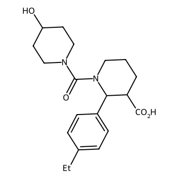 CCc1ccc(C2C(C(=O)O)CCCN2C(=O)N2CCC(O)CC2)cc1